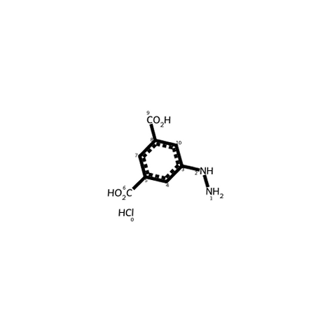 Cl.NNc1cc(C(=O)O)cc(C(=O)O)c1